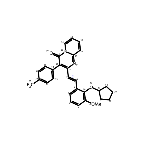 COc1cccc(/C=C/c2nc3ccccn3c(=O)c2-c2ccc(C(F)(F)F)cc2)c1OC1CCCC1